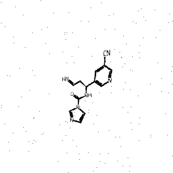 N#Cc1cncc([C@H](CC=N)NC(=O)n2ccnc2)c1